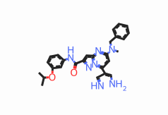 CC(C)Oc1cccc(NC(=O)c2cc3nc(N(C)Cc4ccccc4)cc(/C(C=N)=C/N)n3n2)c1